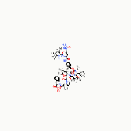 CC[C@H](C)[C@@H]([C@@H](CC(=O)N1CCC[C@H]1C[C@@H](C)C(=O)N[C@@H](Cc1ccccc1)C(=O)O)OC)N(C)C(=O)[C@@H](NC(=O)[C@H](C(C)C)N(C)C(=O)OCc1ccc(NC(=O)[C@H](CCCNC(N)=O)NC(=O)[C@@H](NC(C)C)C(C)C)cc1)C(C)C